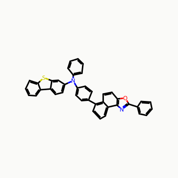 c1ccc(-c2nc3c(ccc4c(-c5ccc(N(c6ccccc6)c6ccc7c(c6)sc6ccccc67)cc5)cccc43)o2)cc1